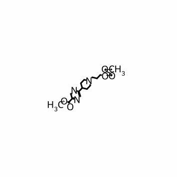 COC(=O)c1cnc(C2CCN(CCCOS(C)(=O)=O)CC2)cn1